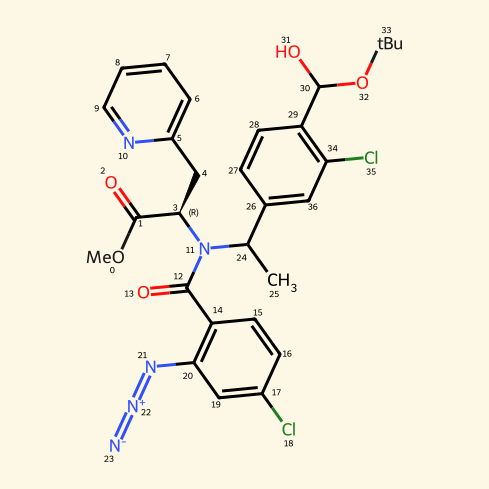 COC(=O)[C@@H](Cc1ccccn1)N(C(=O)c1ccc(Cl)cc1N=[N+]=[N-])C(C)c1ccc(C(O)OC(C)(C)C)c(Cl)c1